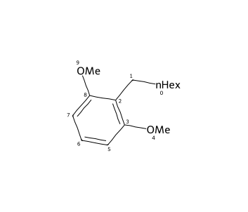 CCCCCCCc1c(OC)cccc1OC